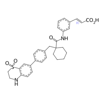 O=C(O)/C=C/c1cccc(NC(=O)C2(Cc3ccc(-c4ccc5c(c4)S(=O)(=O)CCN5)cc3)CCCCC2)c1